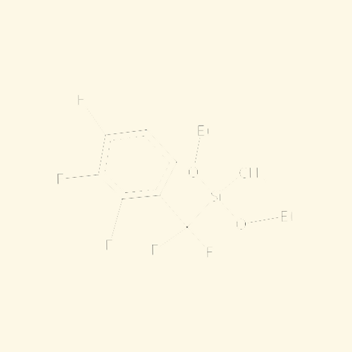 CCO[Si](C)(OCC)C(F)(F)c1ccc(F)c(F)c1F